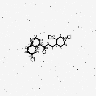 CC[C@H]1CN(Cl)CCC1CCC(=O)c1ccnc2ccc(Cl)cc12